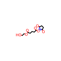 O=C(CCCC(=O)ON1C(=O)CCC1=O)OCCO